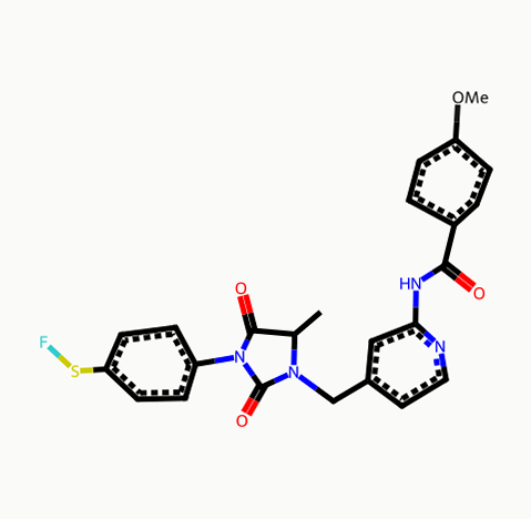 COc1ccc(C(=O)Nc2cc(CN3C(=O)N(c4ccc(SF)cc4)C(=O)C3C)ccn2)cc1